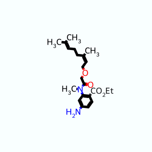 CCOC(=O)c1ccc(N)cc1N(C)C(=O)COCC=C(C)CCC=C(C)C